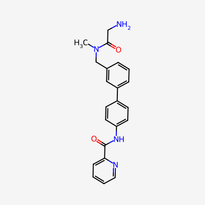 CN(Cc1cccc(-c2ccc(NC(=O)c3ccccn3)cc2)c1)C(=O)CN